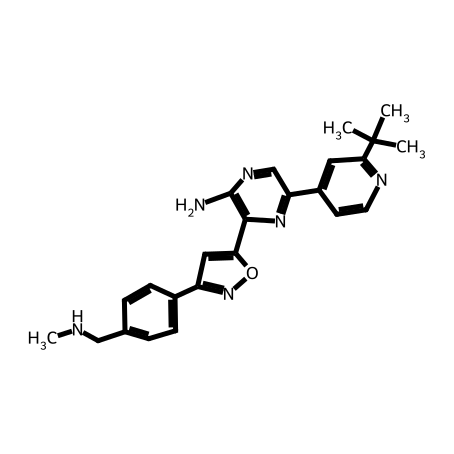 CNCc1ccc(-c2cc(-c3nc(-c4ccnc(C(C)(C)C)c4)cnc3N)on2)cc1